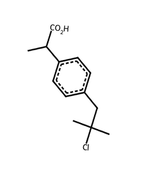 CC(C(=O)O)c1ccc(CC(C)(C)Cl)cc1